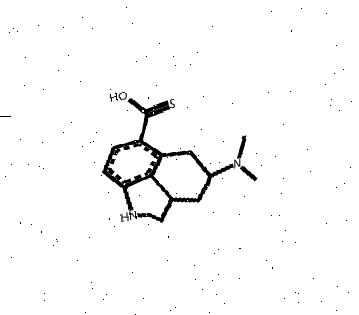 CN(C)C1Cc2c(C(O)=S)ccc3c2C(CN3)C1